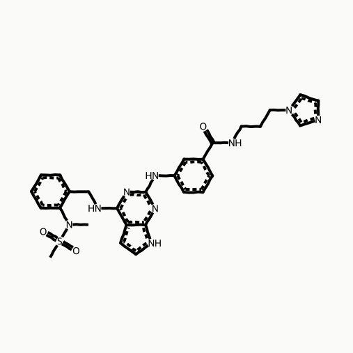 CN(c1ccccc1CNc1nc(Nc2cccc(C(=O)NCCCn3ccnc3)c2)nc2[nH]ccc12)S(C)(=O)=O